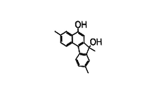 Cc1ccc2c(c1)C(C)(O)c1cc(O)c3cc(C)ccc3c1-2